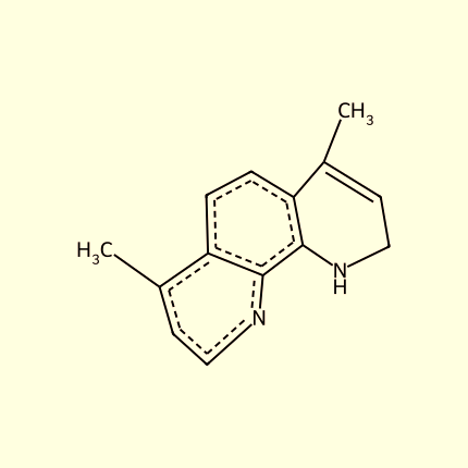 CC1=CCNc2c1ccc1c(C)ccnc21